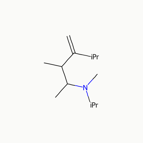 C=C(C(C)C)C(C)C(C)N(C)C(C)C